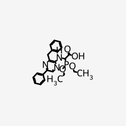 CCOP(OCC)C(Nc1ncc(-c2ccccc2)nc1Cc1ccccc1)C(=O)O